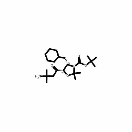 CC(C)(N)CC(=O)[C@@H]1OC(C)(C)N(C(=O)OC(C)(C)C)[C@H]1CC1CCCCC1